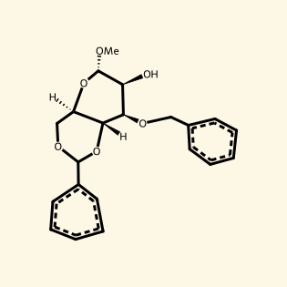 CO[C@H]1O[C@@H]2COC(c3ccccc3)O[C@H]2[C@H](OCc2ccccc2)[C@@H]1O